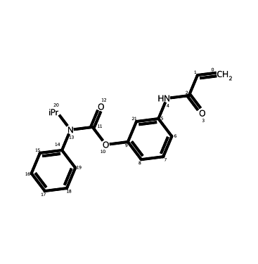 C=CC(=O)Nc1cccc(OC(=O)N(c2ccccc2)C(C)C)c1